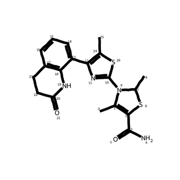 CC1=C(C(N)=O)SC(C)N1c1nc(-c2cccc3c2NC(=O)CC3)c(C)s1